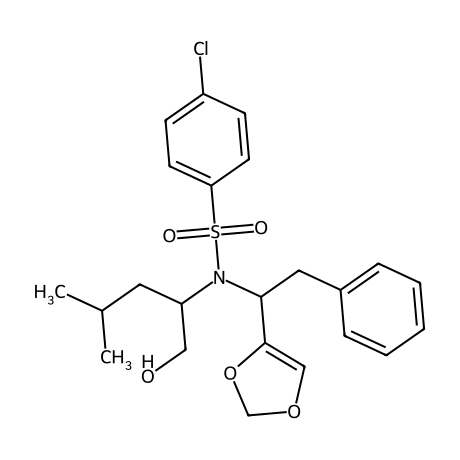 CC(C)CC(CO)N(C(Cc1ccccc1)C1=COCO1)S(=O)(=O)c1ccc(Cl)cc1